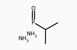 CC(C)P=O.N.N